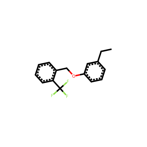 CCc1cccc(OCc2ccccc2C(F)(F)F)c1